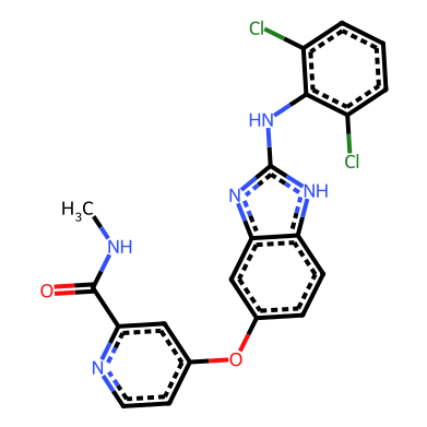 CNC(=O)c1cc(Oc2ccc3[nH]c(Nc4c(Cl)cccc4Cl)nc3c2)ccn1